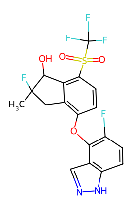 CC1(F)Cc2c(Oc3c(F)ccc4[nH]ncc34)ccc(S(=O)(=O)C(F)(F)F)c2C1O